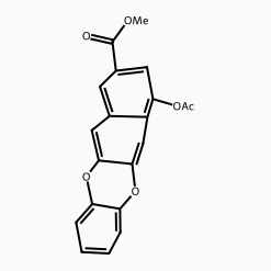 COC(=O)c1cc(OC(C)=O)c2cc3c(cc2c1)Oc1ccccc1O3